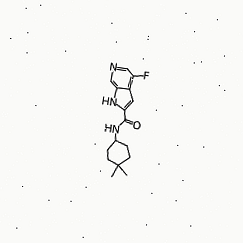 CC1(C)CCC(NC(=O)c2cc3c(F)cncc3[nH]2)CC1